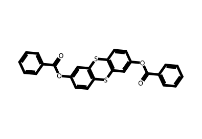 O=C(Oc1ccc2c(c1)Sc1ccc(OC(=O)c3ccccc3)cc1S2)c1ccccc1